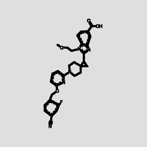 COCCn1c(C2CC23CCN(c2cccc(OCc4ccc(C#N)cc4F)n2)CC3)nc2cc(C(=O)O)ccc21